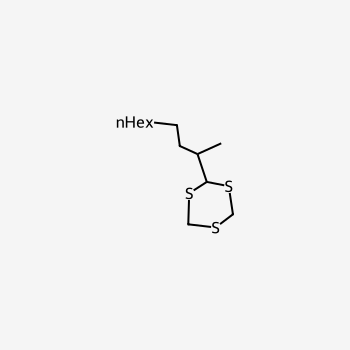 CCCCCCCCC(C)C1SCSCS1